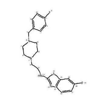 Fc1ccc(CN2CCN(CCNc3nc4ccc(F)cc4s3)CC2)cc1